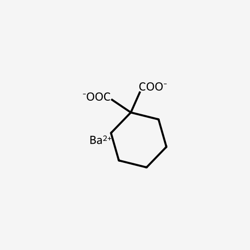 O=C([O-])C1(C(=O)[O-])CCCCC1.[Ba+2]